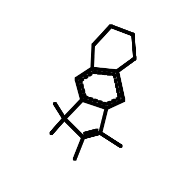 CC1=C(C)C(C)(C)c2cc3c(cc21)CCCC3